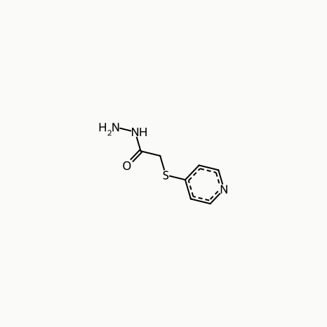 NNC(=O)CSc1ccncc1